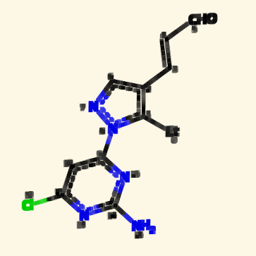 CCc1c(C=CC=O)cnn1-c1cc(Cl)nc(N)n1